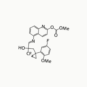 COC(=O)Oc1ccc2c(N=CC(O)(CC3(c4cc(F)ccc4OC)CC3)C(F)(F)F)cccc2n1